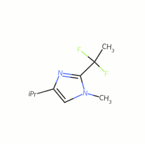 CC(C)c1cn(C)c(C(C)(F)F)n1